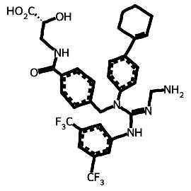 NC/N=C(/Nc1cc(C(F)(F)F)cc(C(F)(F)F)c1)N(Cc1ccc(C(=O)NC[C@@H](O)C(=O)O)cc1)c1ccc(C2=CCCCC2)cc1